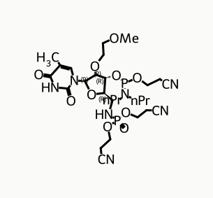 CCCN(CCC)P(OCCC#N)O[C@H]1[C@@H](OCCOC)[C@H](n2cc(C)c(=O)[nH]c2=O)O[C@@H]1CNP(=O)(OCCC#N)OCCC#N